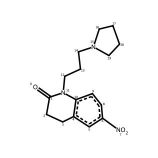 O=C1CCc2cc([N+](=O)[O-])ccc2N1CCCN1CCCC1